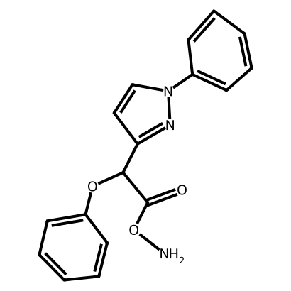 NOC(=O)C(Oc1ccccc1)c1ccn(-c2ccccc2)n1